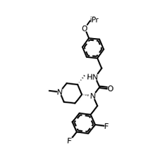 CC(C)Oc1ccc(CNC(=O)N(Cc2ccc(F)cc2F)[C@@H]2CCN(C)C[C@@H]2C)cc1